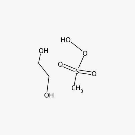 CS(=O)(=O)OO.OCCO